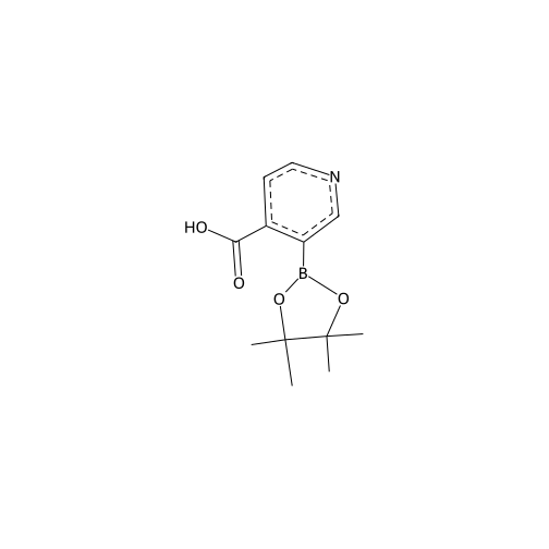 CC1(C)OB(c2cnccc2C(=O)O)OC1(C)C